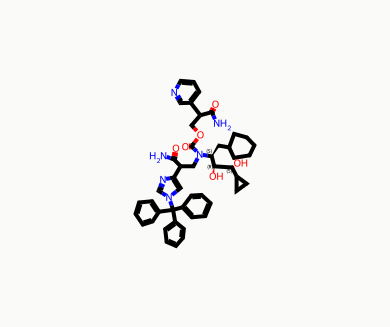 NC(=O)C(COC(=O)N(CC(C(N)=O)c1cn(C(c2ccccc2)(c2ccccc2)c2ccccc2)cn1)[C@@H](CC1CCCCC1)[C@@H](O)[C@@H](O)C1CC1)c1cccnc1